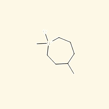 CC1CCC[N+](C)([O-])CC1